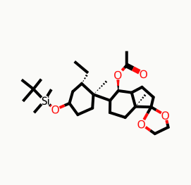 CC[C@H]1CC(O[Si](C)(C)C(C)(C)C)CC[C@]1(C)C1CC[C@@]2(C)C(CCC23OCCO3)[C@@H]1OC(C)=O